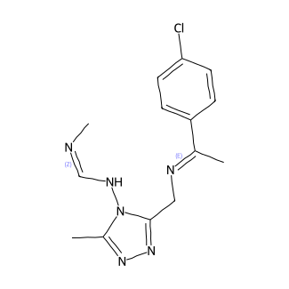 C/N=C\Nn1c(C)nnc1C/N=C(\C)c1ccc(Cl)cc1